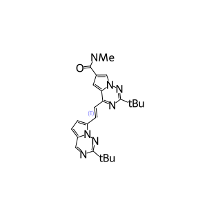 CNC(=O)c1cc2c(/C=C/c3ccc4cnc(C(C)(C)C)nn34)nc(C(C)(C)C)nn2c1